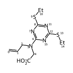 C=CCN(CC(=O)O)c1nc(SCC)nc(SCC)n1